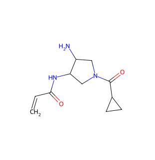 C=CC(=O)NC1CN(C(=O)C2CC2)CC1N